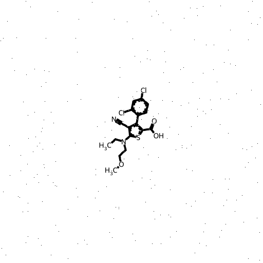 CCN(CCOC)c1sc(C(=O)O)c(-c2ccc(Cl)cc2Cl)c1C#N